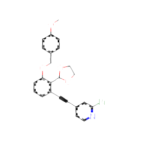 COc1ccc(COc2cccc(C#Cc3ccnc(Br)c3)c2C2OCCO2)cc1